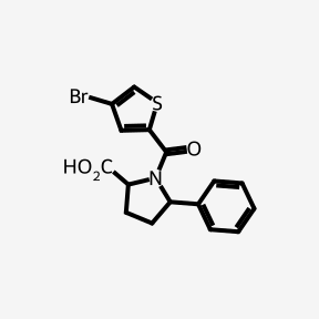 O=C(O)C1CCC(c2ccccc2)N1C(=O)c1cc(Br)cs1